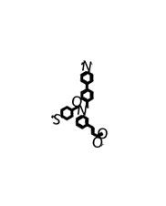 COC(=O)/C=C/c1cccc(N(Cc2ccc(-c3ccc(N(C)C)cc3)cc2)C(=O)C2CCC(SC)CC2)c1